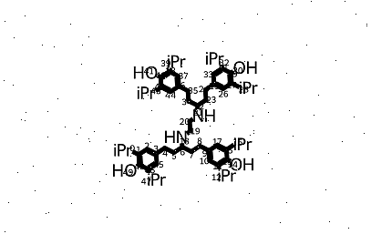 CC(C)c1cc(CCC(CCc2cc(C(C)C)c(O)c(C(C)C)c2)NCCNC(CCc2cc(C(C)C)c(O)c(C(C)C)c2)CCc2cc(C(C)C)c(O)c(C(C)C)c2)cc(C(C)C)c1O